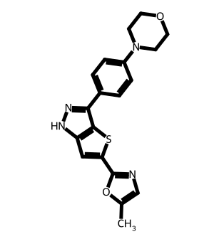 Cc1cnc(-c2cc3[nH]nc(-c4ccc(N5CCOCC5)cc4)c3s2)o1